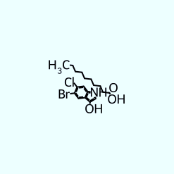 CCCCCCCCCC(=O)O.Oc1c[nH]c2cc(Cl)c(Br)cc12